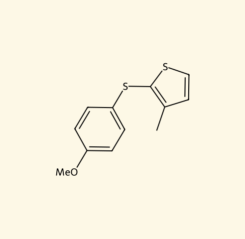 COc1ccc(Sc2sccc2C)cc1